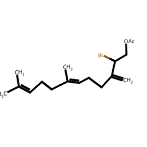 C=C(CC/C=C(\C)CCC=C(C)C)C(Br)COC(C)=O